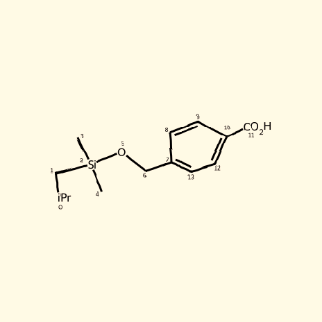 CC(C)C[Si](C)(C)OCc1ccc(C(=O)O)cc1